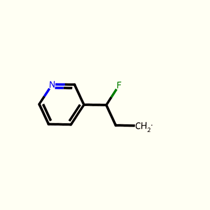 [CH2]CC(F)c1cccnc1